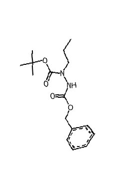 CCCN(NC(=O)OCc1ccccc1)C(=O)OC(C)(C)C